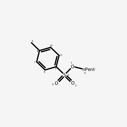 CCCC[CH]OS(=O)(=O)c1ccc(C)cc1